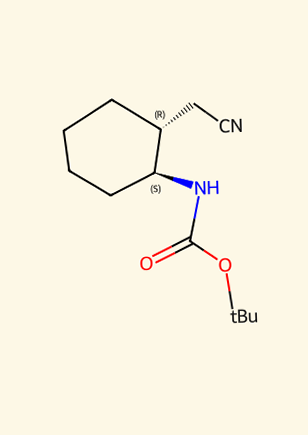 CC(C)(C)OC(=O)N[C@H]1CCCC[C@@H]1CC#N